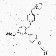 COc1ccc(Cc2ccc(CN3CCCC3)c(C)c2)c(-c2ccc(OCC3CO3)cc2)c1